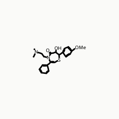 COc1ccc(C2SC=C(c3ccccc3)N(CCN(C)C)C(=O)C2O)cc1